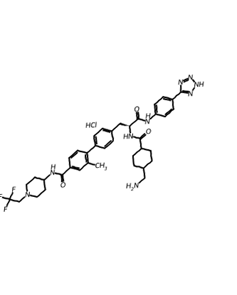 Cc1cc(C(=O)NC2CCN(CC(F)(F)F)CC2)ccc1-c1ccc(C[C@H](NC(=O)C2CCC(CN)CC2)C(=O)Nc2ccc(-c3nn[nH]n3)cc2)cc1.Cl